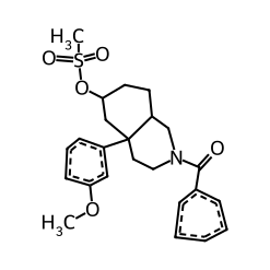 COc1cccc(C23CCN(C(=O)c4ccccc4)CC2CCC(OS(C)(=O)=O)C3)c1